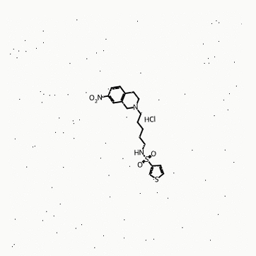 Cl.O=[N+]([O-])c1ccc2c(c1)CN(CCCCCNS(=O)(=O)c1ccsc1)CC2